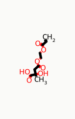 C=CC(=O)OCCOC(=O)CC(C)(O)C(=O)O